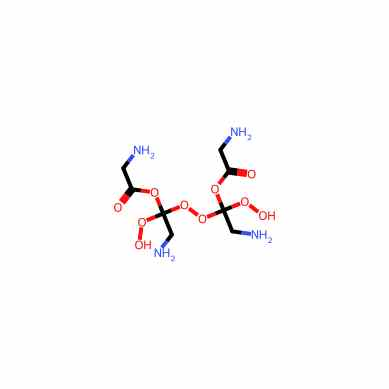 NCC(=O)OC(CN)(OO)OOC(CN)(OO)OC(=O)CN